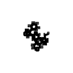 CCc1nnc2n1-c1cnc(-c3conc3-c3ccccc3)nc1N1CCOCC21